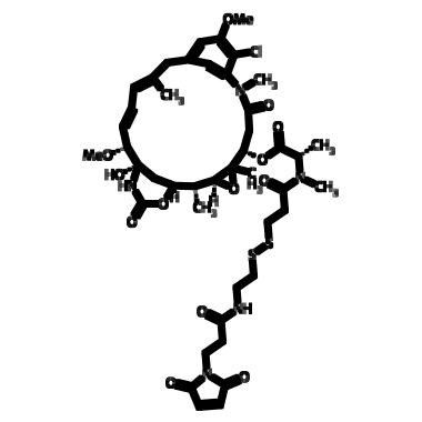 COc1cc2cc(c1Cl)N(C)C(=O)C[C@H](OC(=O)[C@H](C)N(C)C(=O)CCSSCCNC(=O)CCN1C(=O)C=CC1=O)C1(C)O[C@H]1[C@H](C)[C@@H]1C[C@@](O)(NC(=O)O1)[C@H](OC)/C=C/C=C(\C)C2